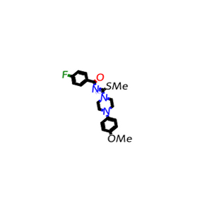 COc1ccc(N2CCN(/C(=N/C(=O)c3ccc(F)cc3)SC)CC2)cc1